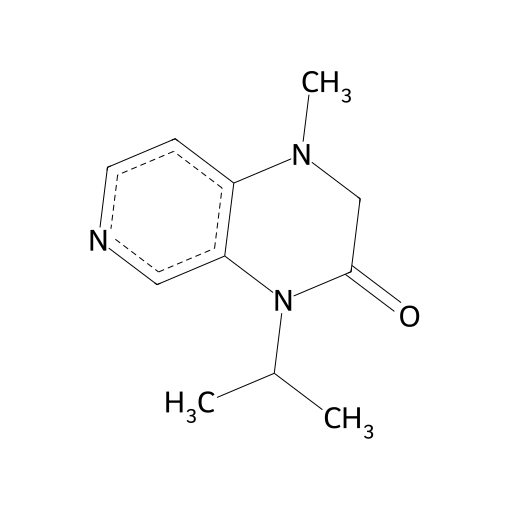 CC(C)N1C(=O)CN(C)c2ccncc21